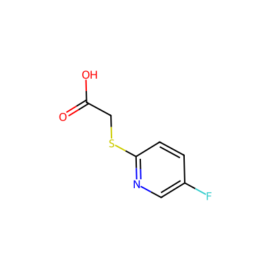 O=C(O)CSc1ccc(F)cn1